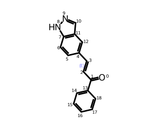 O=C(/C=C/c1ccc2[nH]ncc2c1)c1ccccc1